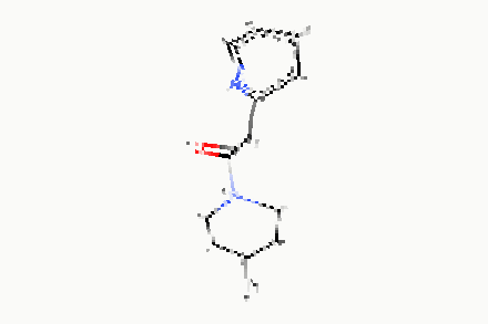 CC(C)C1CCN(C(=O)Cc2ccccn2)CC1